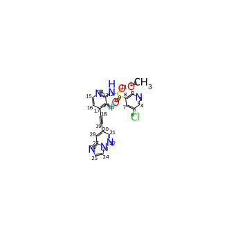 COc1ncc(Cl)cc1S(=O)(=O)Nc1nccc(C#Cc2cnn3ccnc3c2)c1F